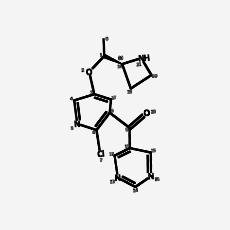 CC(Oc1cnc(Cl)c(C(=O)c2cncnc2)c1)[C@@H]1CCN1